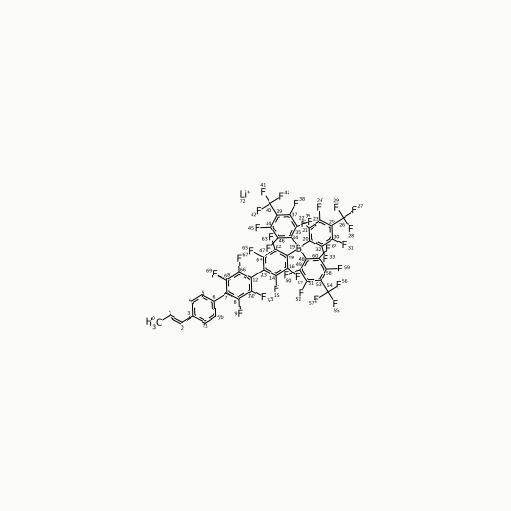 C/C=C/c1ccc(-c2c(F)c(F)c(-c3c(F)c(F)c([B-](c4c(F)c(F)c(C(F)(F)F)c(F)c4F)(c4c(F)c(F)c(C(F)(F)F)c(F)c4F)c4c(F)c(F)c(C(F)(F)F)c(F)c4F)c(F)c3F)c(F)c2F)cc1.[Li+]